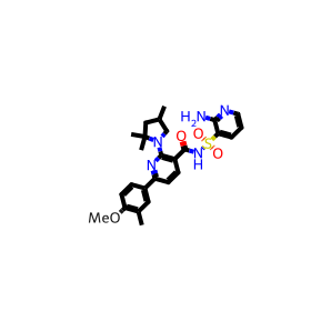 COc1ccc(-c2ccc(C(=O)NS(=O)(=O)c3cccnc3N)c(N3CC(C)CC3(C)C)n2)cc1C